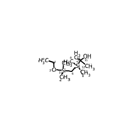 CCO[Si](C)(C)C[Si](C)(C)C(C)(C)O